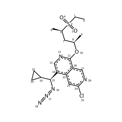 CCS(=O)(=O)[C@H](C)C[C@@H](C)Oc1ncc([C@@H](N=[N+]=[N-])C2CC2)c2cc(Cl)ncc12